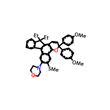 CCC1(CC)c2ccccc2-c2c1c1c(c3cc(SC)c(N4CCOCC4)cc23)OC(c2ccc(OC)cc2)(c2ccc(OC)cc2)C=C1